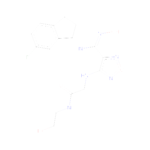 O=C(CNc1nonc1C(=NO)N[C@H]1CCc2ccc(F)cc21)NCCO